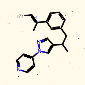 C/C(=C\C(C)C)c1cccc(CC(C)c2cnn(-c3ccncc3)c2)c1